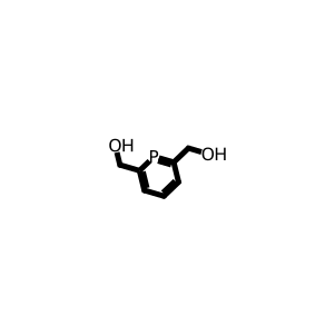 OCc1cccc(CO)p1